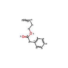 CCCCCCCC[CH]OC(=O)Cc1ccccc1